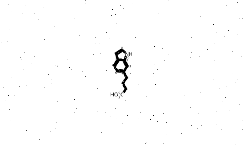 O=C(O)CCCc1ccc2cc[nH]c2c1